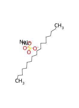 CCCCCCCCCCCCCCCCCC.O=S(=O)([O-])[O-].[Na+].[Na+]